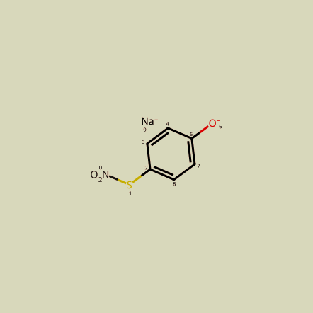 O=[N+]([O-])Sc1ccc([O-])cc1.[Na+]